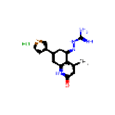 Cc1cc(=O)[nH]c2c1C(=NNC(=N)N)CC(c1ccsc1)C2.Cl